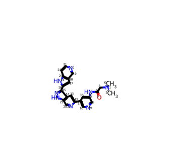 CN(C)CC(=O)Nc1cncc(-c2cc3c(-c4cc5cnccc5[nH]4)n[nH]c3cn2)c1